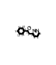 O=C(Cc1cccnn1)c1ccccc1